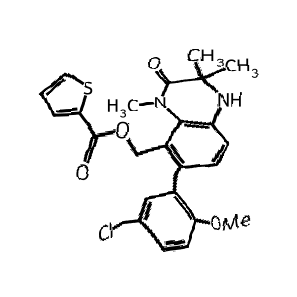 COc1ccc(Cl)cc1-c1ccc2c(c1COC(=O)c1cccs1)N(C)C(=O)C(C)(C)N2